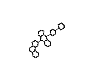 c1ccc(-c2ccc(-c3c4ccccc4c(-c4ccc5ccc6ccccc6c5c4)c4ccccc34)cc2)cc1